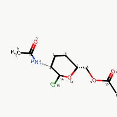 CC(=O)N[C@@H]1[CH][CH][C@H](COC(C)=O)OC1Cl